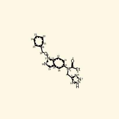 CCC(=O)N(Cc1nn[nH]n1)c1ccc2c(cnn2OCc2ccccc2)c1